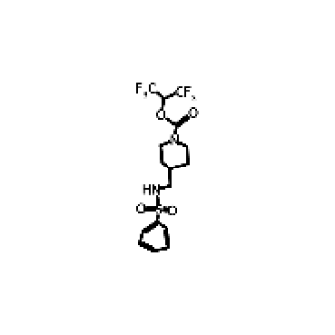 O=C(OC(C(F)(F)F)C(F)(F)F)N1CCC(CNS(=O)(=O)c2ccccc2)CC1